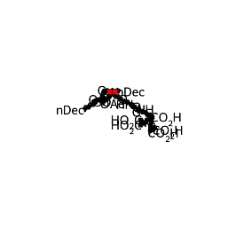 CCCCCCCCCCCCCCCC(=O)OCC(COC(C)=O)(COC(=O)CCCCCCCCCCCCCCC)C(=O)OCCCCCCOCCNCCOC(=O)NCCCCC(C(=O)O)N(CCN(CC(=O)O)CC(=O)O)CCN(CC(=O)O)CC(=O)O